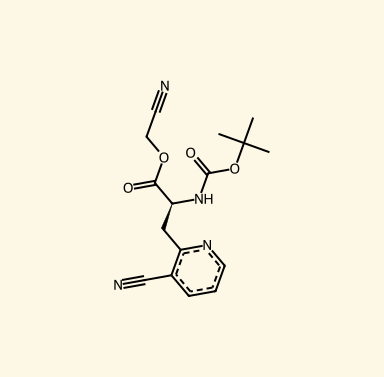 CC(C)(C)OC(=O)N[C@@H](Cc1ncccc1C#N)C(=O)OCC#N